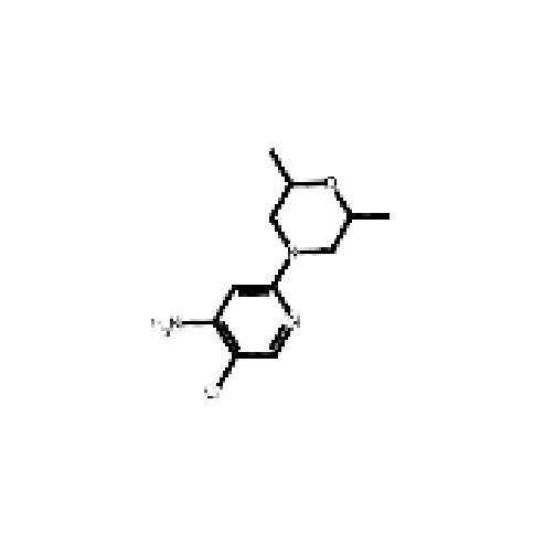 CC1CN(c2cc(N)c(Cl)cn2)CC(C)O1